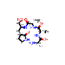 CC(C)C[C@H](NC(=O)[C@@H](NC(=O)[C@H](C)N)C(C)C)C(=O)NC(CO)C[C@@H]1CCNC1=O